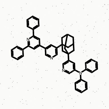 c1ccc(-c2cc(-c3cncc(C45CC6CC(C4)CC(c4cncc(N(c7ccccc7)c7ccccc7)c4)(C6)C5)c3)cc(-c3ccccc3)n2)cc1